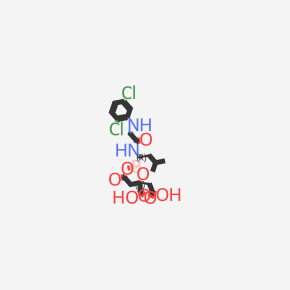 CC(C)C[C@H](NC(=O)CNc1cc(Cl)ccc1Cl)B1OC(=O)C[C@@](CC(=O)O)(C(=O)O)O1